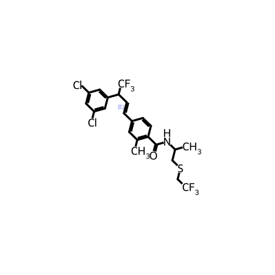 Cc1cc(/C=C/C(c2cc(Cl)cc(Cl)c2)C(F)(F)F)ccc1C(=O)NC(C)CSCC(F)(F)F